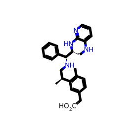 Cc1ccc(CC(=O)O)cc1[C@@H](C)CN[C@H](c1ccccc1)[C@H]1CNc2cccnc2N1